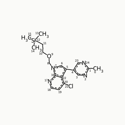 Cc1ncc(-c2cn(COCC[Si](C)(C)C)c3nccc(Cl)c23)cn1